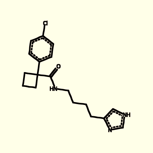 O=C(NCCCCc1c[nH]cn1)C1(c2ccc(Cl)cc2)CCC1